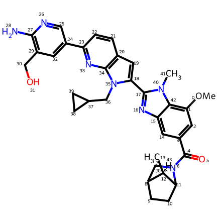 COc1cc(C(=O)N2CC3CCC2[C@@H]3C)cc2nc(-c3cc4ccc(-c5cnc(N)c(CO)c5)nc4n3CC3CC3)n(C)c12